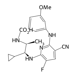 COc1cccc(Nc2nc(N[C@@H](C3CC3)[C@H](C)NC(=O)O)c(F)cc2C#N)c1